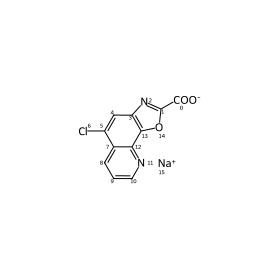 O=C([O-])c1nc2cc(Cl)c3cccnc3c2o1.[Na+]